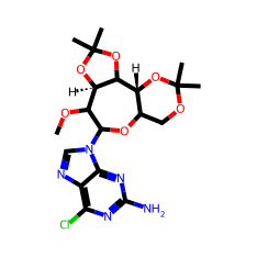 COC1C(n2cnc3c(Cl)nc(N)nc32)OC2COC(C)(C)O[C@H]2C2OC(C)(C)O[C@H]12